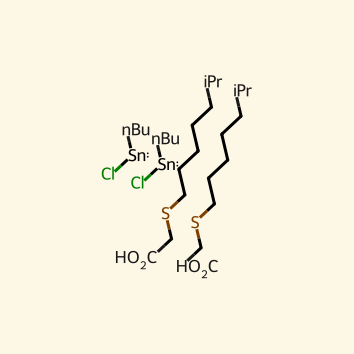 CC(C)CCCCCSCC(=O)O.CC(C)CCCCCSCC(=O)O.CCC[CH2][Sn][Cl].CCC[CH2][Sn][Cl]